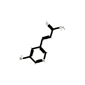 CC(=O)C=Cc1cncc(Br)c1